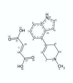 CN1CC=C(c2cccc3[nH]ccc23)CC1.O=C(O)/C=C/C(=O)O